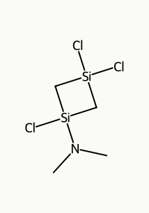 CN(C)[Si]1(Cl)C[Si](Cl)(Cl)C1